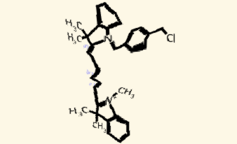 C[N+]1=C(/C=C/C=C/C=C2\N(Cc3ccc(CCl)cc3)c3ccccc3C2(C)C)C(C)(C)c2ccccc21